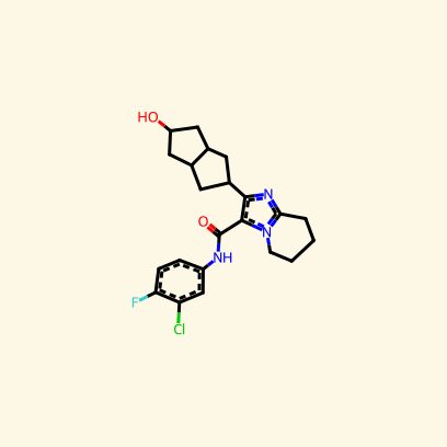 O=C(Nc1ccc(F)c(Cl)c1)c1c(C2CC3CC(O)CC3C2)nc2n1CCCC2